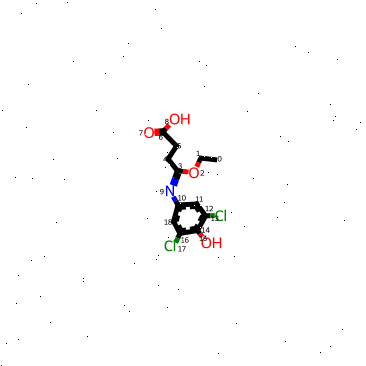 CCOC(CCC(=O)O)=Nc1cc(Cl)c(O)c(Cl)c1